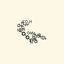 COC(=O)N[C@@H](CC(=O)N1CCN(C)CC1)C(=O)N1CCC[C@H]1c1ncc(-c2ccc(-c3ccc(-c4cnc([C@@H]5CCCN5C(=O)[C@H](C(C)C)N(C)C(=O)O)[nH]4)cc3)cc2)[nH]1